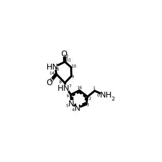 NCc1cnnc(NC2CCC(=O)NC2=O)c1